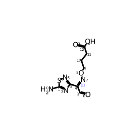 Nc1nc(/C([C]=O)=N\OCCCC(=O)O)ns1